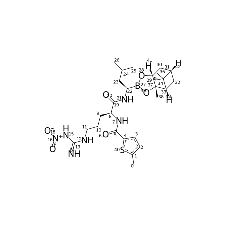 Cc1ccc(C(=O)N[C@@H](CCCNC(=N)N[N+](=O)[O-])C(=O)N[C@@H](CC(C)C)B2O[C@@H]3C[C@@H]4C[C@@H](C4(C)C)[C@]3(C)O2)s1